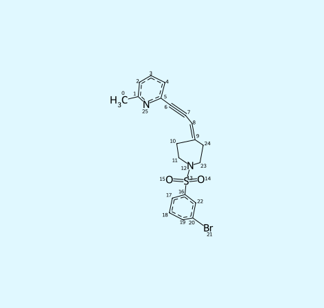 Cc1cccc(C#CC=C2CCN(S(=O)(=O)c3cccc(Br)c3)CC2)n1